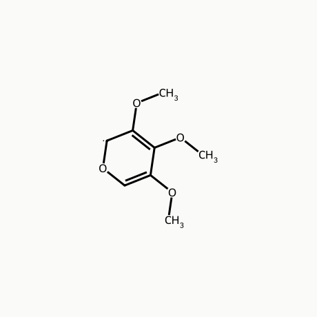 COC1=CO[CH]C(OC)=C1OC